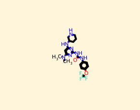 CN(C)c1cc(NC2CCCNC2)nc(NC(=O)Nc2ccc(OC(F)(F)F)cc2)n1